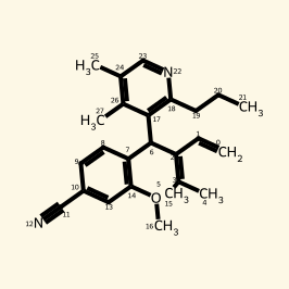 C=CC(=C(C)C)C(c1ccc(C#N)cc1OC)c1c(CCC)ncc(C)c1C